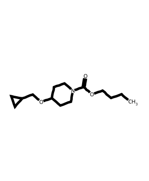 CCCCOC(=O)N1CCC(OCC2CC2)CC1